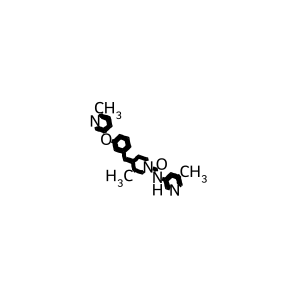 Cc1cncc(NC(=O)N2CC/C(=C\c3cccc(Oc4ccc(C)nc4)c3)C(C)C2)c1